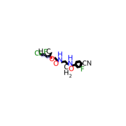 C=C/C(=C\C(F)=C\Cl)OCC(=O)NCCC(=C)NC(=O)c1ccc(C#N)c(F)c1